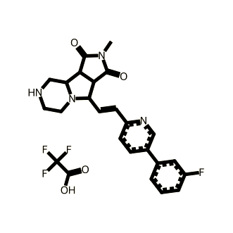 CN1C(=O)C2C(C1=O)C1CNCCN1C2C=Cc1ccc(-c2cccc(F)c2)cn1.O=C(O)C(F)(F)F